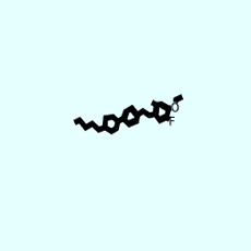 CCCCCC1CCC(c2ccc(CCc3cc(F)c(OCC)cc3C)cc2)CC1